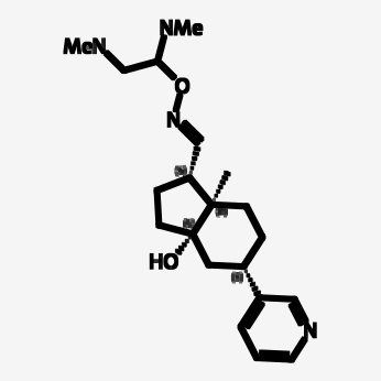 CNCC(NC)ON=C[C@H]1CC[C@]2(O)C[C@@H](c3cccnc3)CC[C@]12C